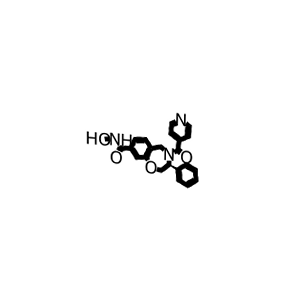 O=C(NO)c1ccc2c(c1)OC[C@H](c1ccccc1)N(C(=O)c1ccncc1)C2